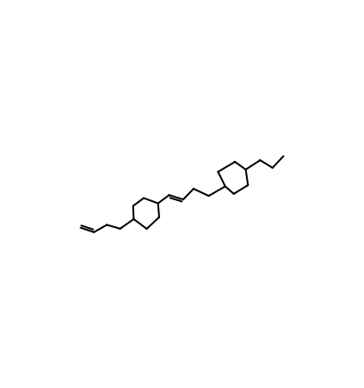 C=CCCC1CCC(C=CCCC2CCC(CCC)CC2)CC1